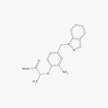 COC(=O)C(C)Oc1ccc(Cn2ncc3ccccc32)cc1[N+](=O)[O-]